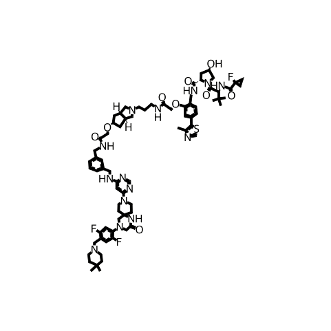 Cc1ncsc1-c1ccc(CNC(=O)[C@@H]2C[C@@H](O)CN2C(=O)[C@@H](NC(=O)C2(F)CC2)C(C)(C)C)c(OCC(=O)NCCCN2C[C@H]3C[C@@H](OCC(=O)NCc4cccc(CNc5cc(N6CCC7(CC6)CN(c6cc(F)c(CN8CCC(C)(C)CC8)cc6F)CC(=O)N7)ncn5)c4)C[C@H]3C2)c1